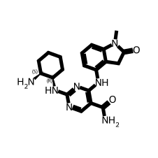 CN1C(=O)Cc2c(Nc3nc(N[C@@H]4CCCC[C@@H]4N)ncc3C(N)=O)cccc21